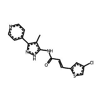 Cc1c(-c2ccncc2)n[nH]c1NC(=O)C=Cc1cc(Cl)cs1